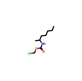 CCCCCC(C)NC(=O)OCCl